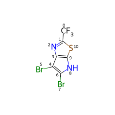 FC(F)(F)c1nc2c(Br)c(Br)[nH]c2s1